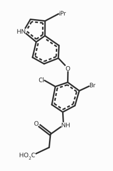 CC(C)c1c[nH]c2ccc(Oc3c(Cl)cc(NC(=O)CC(=O)O)cc3Br)cc12